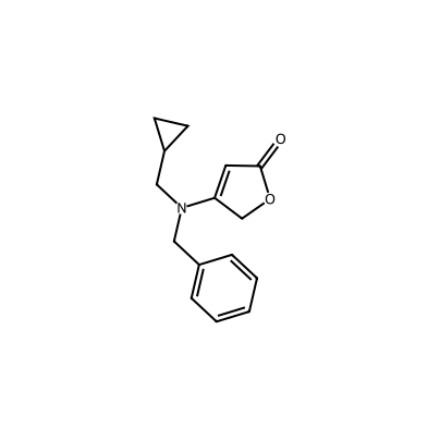 O=C1C=C(N(Cc2ccccc2)CC2CC2)CO1